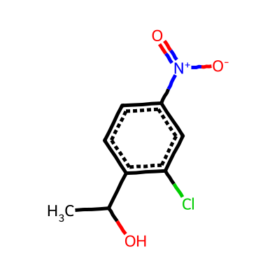 CC(O)c1ccc([N+](=O)[O-])cc1Cl